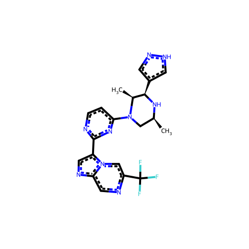 C[C@H]1CN(c2ccnc(-c3cnc4cnc(C(F)(F)F)cn34)n2)[C@@H](C)[C@@H](c2cn[nH]c2)N1